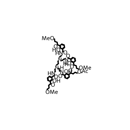 COCCCC(=O)c1cccc(C(=O)NCCN(CCCN(CCNC(=O)c2cccc(C(=O)CCCOC)c2O)CCNC(=O)c2cccc(C(=O)CCCOCC(C)=O)c2O)CCNC(=O)c2cccc(C(=O)CCCOC)c2O)c1O